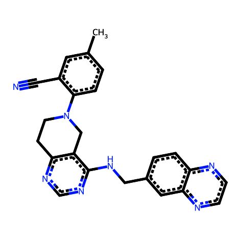 Cc1ccc(N2CCc3ncnc(NCc4ccc5nccnc5c4)c3C2)c(C#N)c1